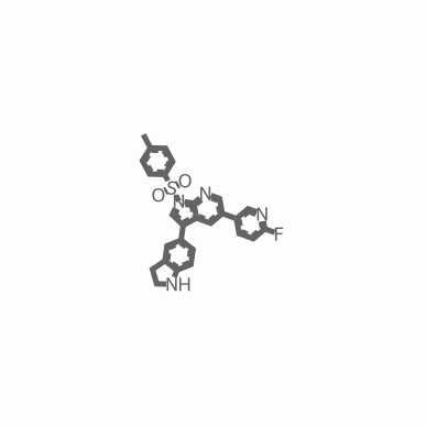 Cc1ccc(S(=O)(=O)n2cc(-c3ccc4c(c3)CCN4)c3cc(-c4ccc(F)nc4)cnc32)cc1